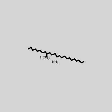 CCCCCCCCCCCCCCCC(CCCCCCCC)C(=O)O.N